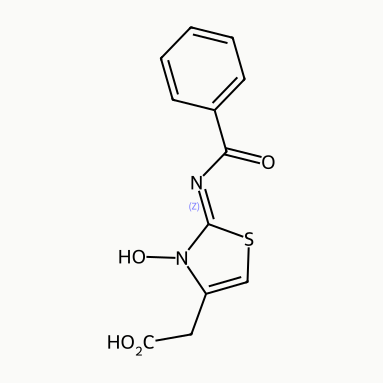 O=C(O)Cc1cs/c(=N\C(=O)c2ccccc2)n1O